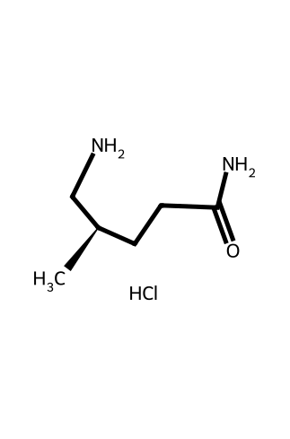 C[C@@H](CN)CCC(N)=O.Cl